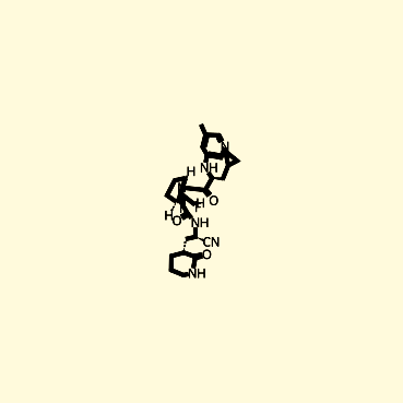 Cc1cncc(N[C@@H](CC2CC2)C(=O)N2[C@@H]3CC[C@H]([C@@H]2C(=O)N[C@H](C#N)C[C@H]2CCCNC2=O)C(F)(F)C3)c1